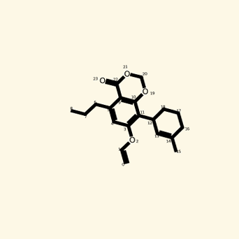 C=COc1cc(CCC)c2c(c1C1C=C(C)CCC1)OCOC2=O